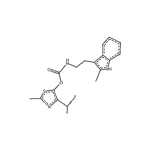 Cc1nc(C(F)F)c(OC(=O)NCCc2c(C)[nH]c3ccccc23)s1